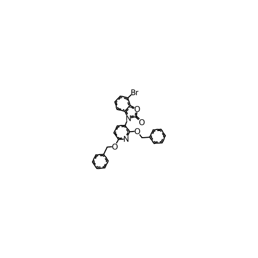 O=c1oc2c(Br)cccc2n1-c1ccc(OCc2ccccc2)nc1OCc1ccccc1